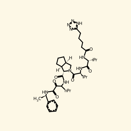 CCCC(NC(=O)[C@@H]1[C@H]2CCC[C@H]2CN1C(=O)[C@@H](NC(=O)[C@H](NC(=O)CCCCc1nnn[nH]1)C(C)C)C(C)C)C(=O)C(=O)N[C@H](C)c1ccccc1